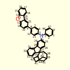 c1ccc(N(c2ccc(-c3ccc4oc5ccccc5c4c3)cc2)c2ccc3c(c2)-c2ccccc2C32CCC3CC4CC2C4C3)cc1